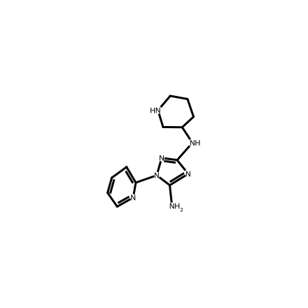 Nc1nc(NC2CCCNC2)nn1-c1ccccn1